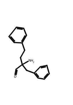 NC(C=O)(CCc1ccccc1)Cc1ccccc1